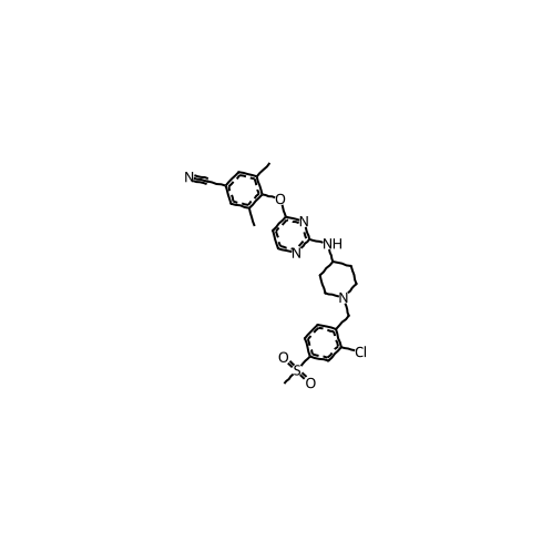 Cc1cc(C#N)cc(C)c1Oc1ccnc(NC2CCN(Cc3ccc(S(C)(=O)=O)cc3Cl)CC2)n1